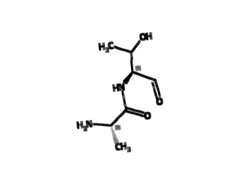 CC(O)[C@@H](C=O)NC(=O)[C@H](C)N